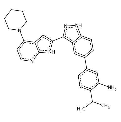 CC(C)c1ncc(-c2ccc3[nH]nc(-c4cc5c(N6CCCCC6)ccnc5[nH]4)c3c2)cc1N